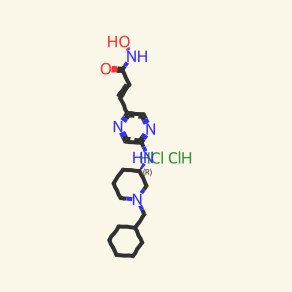 Cl.Cl.O=C(C=Cc1cnc(N[C@@H]2CCCN(CC3CCCCC3)C2)cn1)NO